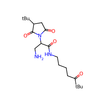 CC(C)(C)C(=O)CCCCNC(=O)C(CN)N1C(=O)CC(C(C)(C)C)C1=O